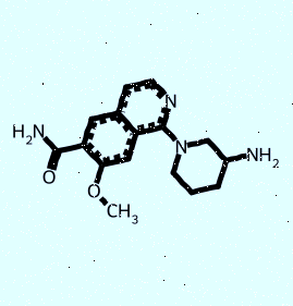 COc1cc2c(N3CCCC(N)C3)nccc2cc1C(N)=O